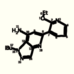 CCOc1ncccc1-c1cc(N)c2c(cnn2C(C)CC)n1